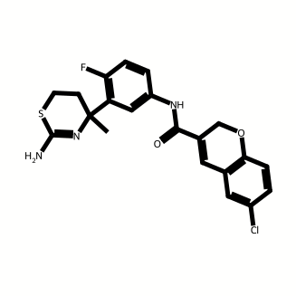 CC1(c2cc(NC(=O)C3=Cc4cc(Cl)ccc4OC3)ccc2F)CCSC(N)=N1